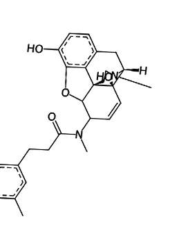 Cc1cccc(CCC(=O)N(C)C2C=C[C@@]3(O)[C@H]4Cc5ccc(O)c6c5[C@@]3(CCN4C)C2O6)c1